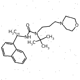 C[C@H](NC(=O)N(CCCN1CCOCC1)C(C)(C)C)c1cccc2ccccc12